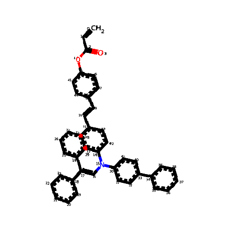 C=CC(=O)Oc1ccc(C=Cc2ccc(N(C=C(c3ccccc3)c3ccccc3)c3ccc(-c4ccccc4)cc3)cc2)cc1